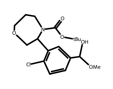 COC(O)c1ccc(Cl)c(C2COCCCN2C(=O)OC(C)(C)C)c1